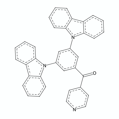 O=C(c1ccncc1)c1cc(-n2c3ccccc3c3ccccc32)cc(-n2c3ccccc3c3ccccc32)c1